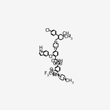 CN1CCN(Nc2ccc(S(=O)(=O)NC(=O)c3ccc(N4CCN(CC5=C(c6ccc(Cl)cc6)CC(C)(C)CC5)CC4)cc3Oc3ccc4[nH]ccc4c3)cc2S(=O)(=O)C(F)(F)F)CC1